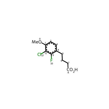 COc1ccc(CCCC(=O)O)c(F)c1Cl